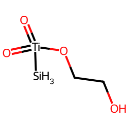 [O]=[Ti](=[O])([SiH3])[O]CCO